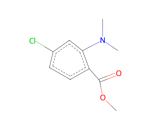 COC(=O)c1ccc(Cl)cc1N(C)C